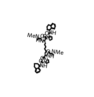 CN[C@@H](C)C(=O)N[C@@H](CCCCCC[C@H](NC(=O)[C@H](C)NC)C(=O)N1CCC[C@H]1C(=O)N[C@@H]1CCCc2ccccc21)C(=O)N1CCC[C@H]1C(=O)N[C@@H]1CCCc2ccccc21